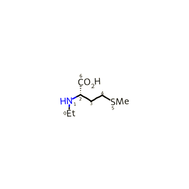 CCN[C@@H](CCSC)C(=O)O